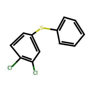 Clc1ccc(Sc2[c]cccc2)cc1Cl